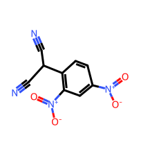 N#CC(C#N)c1ccc([N+](=O)[O-])cc1[N+](=O)[O-]